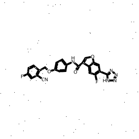 N#Cc1cc(F)ccc1COc1ccc(NC(=O)c2coc3cc(-c4nnn[nH]4)c(F)cc23)cc1